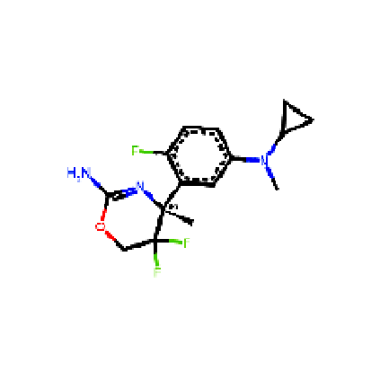 CN(c1ccc(F)c([C@@]2(C)N=C(N)OCC2(F)F)c1)C1CC1